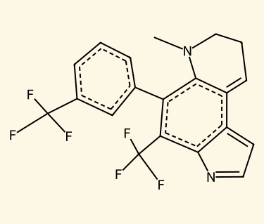 CN1CCC=c2c1c(-c1cccc(C(F)(F)F)c1)c(C(F)(F)F)c1c2=CC=N1